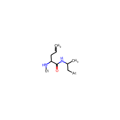 C=CCC(NCC)C(=O)NC(C)CC(C)=O